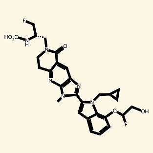 Cn1c(-c2cc3cccc(OC(F)CO)c3n2CC2CC2)nc2cc3c(nc21)CCN(C[C@@H](CF)NC(=O)O)C3=O